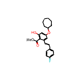 COC(=O)c1c(O)cc(OC2CCCCCC2)cc1C=Cc1ccc(F)cc1